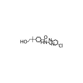 CC(C)(CCO)c1ccc(C(=O)Nc2cn3cc(Cl)ccc3n2)cc1